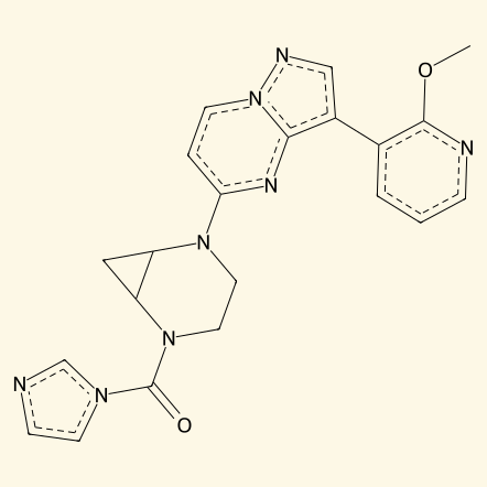 COc1ncccc1-c1cnn2ccc(N3CCN(C(=O)n4ccnc4)C4CC43)nc12